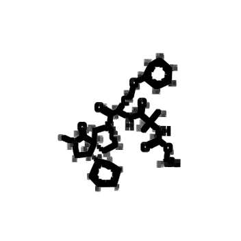 CN1C[C@@H](c2ccccc2)[C@@]2(CCCN(C(=O)C(CCOc3ccccc3)NC(=O)C(C)(C)NC(=O)OC(C)(C)C)C2)C1=O